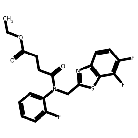 CCOC(=O)CCC(=O)N(Cc1nc2ccc(F)c(F)c2s1)c1ccccc1F